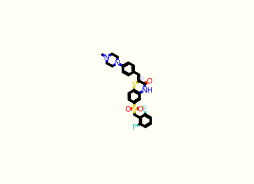 CN1CCN(c2ccc(/C=C3\Sc4ccc(S(=O)(=O)Cc5c(F)cccc5F)cc4NC3=O)cc2)CC1